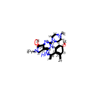 CCOc1ccc(C(C)Nc2nc(N3CCN(C(C)=O)CC3)nc3c2CN(C(C)C)C3=O)c(C)c1